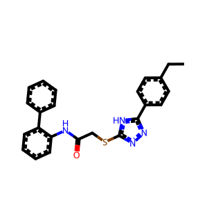 CCc1ccc(-c2nnc(SCC(=O)Nc3ccccc3-c3ccccc3)[nH]2)cc1